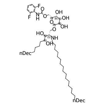 CCCCCCCCCCCCCCCCCCCCCCCCCCN[C@@H](CO[C@@H]1O[C@H](COC(=O)Nc2c(F)cccc2F)[C@H](O)[C@H](O)[C@H]1O)[C@H](O)[C@H](O)CCCCCCCCCCCCCC